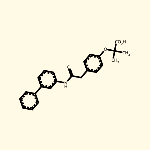 CC(C)(Oc1ccc(CC(=O)Nc2cccc(-c3ccccc3)c2)cc1)C(=O)O